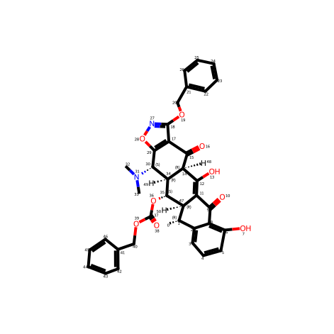 C[C@H]1c2cccc(O)c2C(=O)C2=C(O)[C@@H]3C(=O)c4c(OCc5ccccc5)noc4[C@@H](N(C)C)[C@@H]3[C@@H](OC(=O)OCc3ccccc3)[C@@H]21